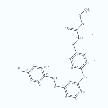 COCC(=O)NCc1ccc(Oc2cc(CNc3ncc(Cl)cn3)ccn2)cc1